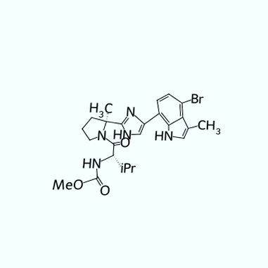 COC(=O)N[C@H](C(=O)N1CCC[C@@]1(C)c1nc(-c2ccc(Br)c3c(C)c[nH]c23)c[nH]1)C(C)C